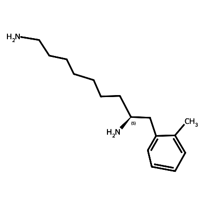 Cc1ccccc1C[C@@H](N)CCCCCCCN